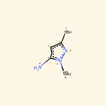 CC(C)(C)c1cc(N)n(C(C)(C)C)n1